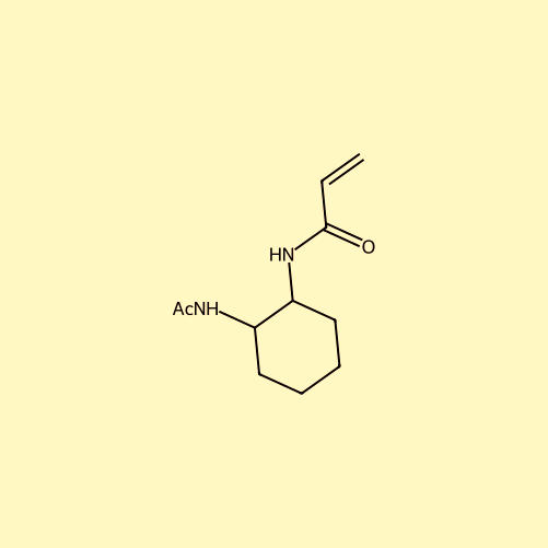 C=CC(=O)NC1CCCCC1NC(C)=O